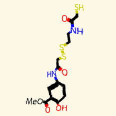 COC(=O)c1cc(NC(=O)CSSCCNC(=O)CS)ccc1O